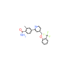 Cc1cc(-c2cc(COc3ccccc3C(F)(F)F)ccn2)ccc1C(N)=O